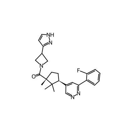 CC1(C)[C@H](c2cnnc(-c3ccccc3F)c2)CC[C@@]1(C)C(=O)N1CC(c2cc[nH]n2)C1